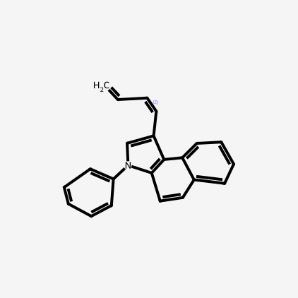 C=C/C=C\c1cn(-c2ccccc2)c2ccc3ccccc3c12